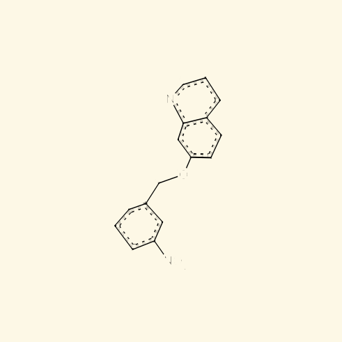 O=[N+]([O-])c1cccc(COc2ccc3cccnc3c2)c1